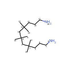 CC(C)(CCCN)CC(C)(C)CC(C)(C)CCCN